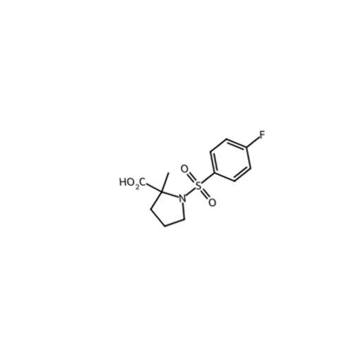 CC1(C(=O)O)CCCN1S(=O)(=O)c1ccc(F)cc1